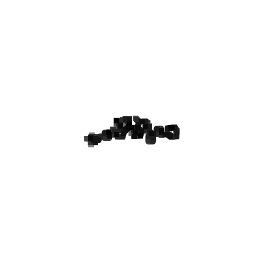 CC1CCN(C(=O)OCc2ccccc2)C2CCN(c3ncnc4c3ccn4COCC[Si](C)(C)C)C12